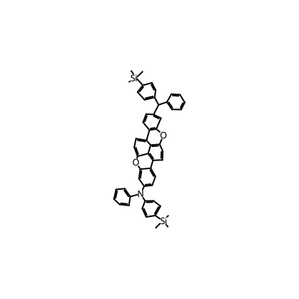 C[Si](C)(C)c1ccc(C(c2ccccc2)c2ccc3c(c2)Oc2ccc4c5c(ccc-3c25)Oc2cc(N(c3ccccc3)c3ccc([Si](C)(C)C)cc3)ccc2-4)cc1